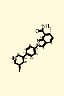 NC(=O)c1cccc2cn(-c3ccc(C4CNCC(F)C4)cc3)nc12